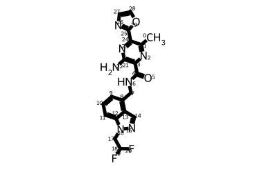 Cc1nc(C(=O)NCc2cccc3c2cnn3CC(F)F)c(N)nc1-c1ncco1